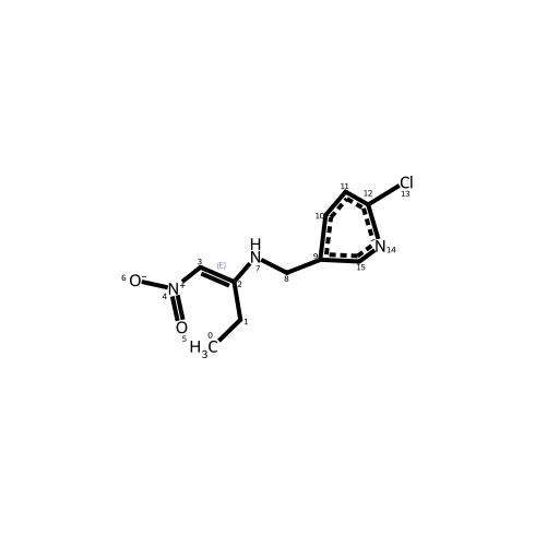 CC/C(=C\[N+](=O)[O-])NCc1ccc(Cl)nc1